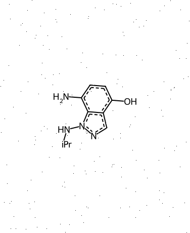 CC(C)Nn1ncc2c(O)ccc(N)c21